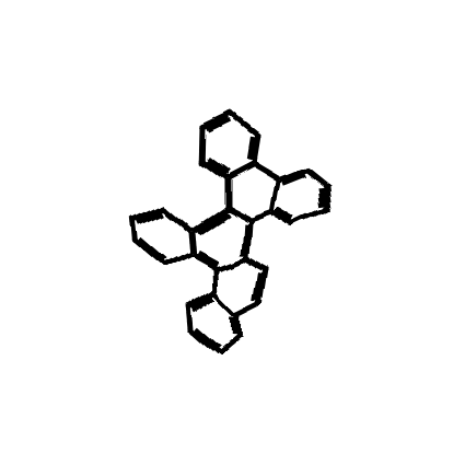 c1ccc2c(c1)ccc1c2c2ccccc2c2c3ccccc3c3ccccc3c12